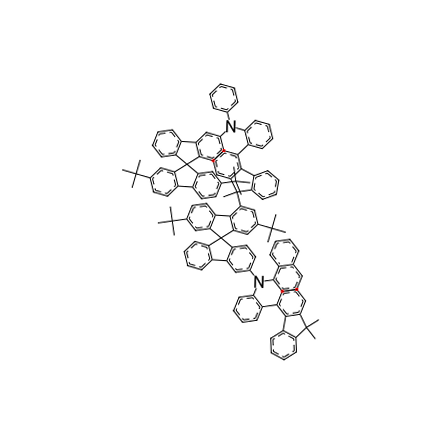 CC(C)(C)c1ccc2c(c1)C1(c3ccccc3-c3cc(N(c4ccccc4)c4ccccc4-c4cccc5c4-c4ccccc4C5(C)c4cc(C(C)(C)C)cc5c4-c4ccc(C(C)(C)C)cc4C54c5ccccc5-c5cc(N(c6ccccc6-c6cccc7c6-c6ccccc6C7(C)C)c6cccc7ccccc67)ccc54)ccc31)c1cc(C(C)(C)C)ccc1-2